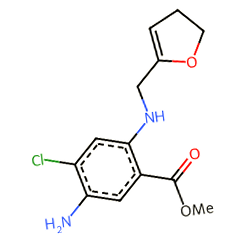 COC(=O)c1cc(N)c(Cl)cc1NCC1=CCCO1